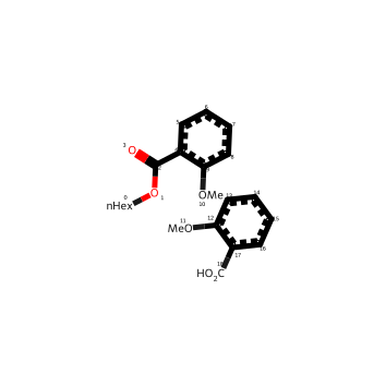 CCCCCCOC(=O)c1ccccc1OC.COc1ccccc1C(=O)O